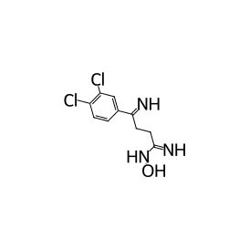 N=C(CCC(=N)c1ccc(Cl)c(Cl)c1)NO